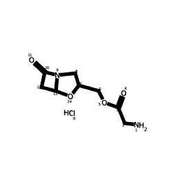 Cl.NCC(=O)OCC1CN2C(=O)CC2O1